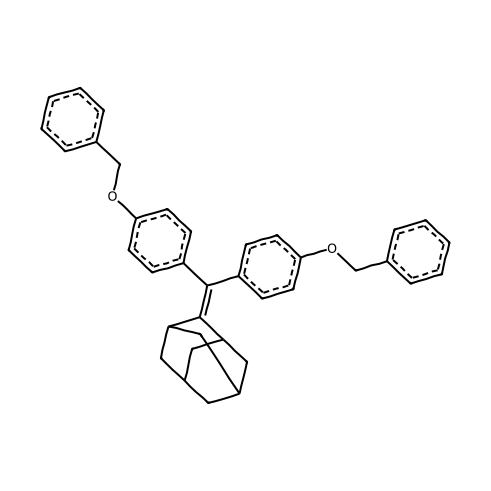 c1ccc(COc2ccc(C(=C3C4CC5CC(C4)CC3C5)c3ccc(OCc4ccccc4)cc3)cc2)cc1